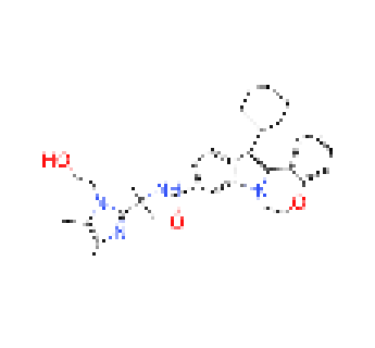 Cc1nc(C(C)(C)NC(=O)c2ccc3c(C4CCCCC4)c4n(c3c2)CCOc2ccccc2-4)n(CCO)c1C